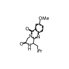 COc1ccc2nc3n(c(=O)c2c1)CC(=O)NC3CC(C)C